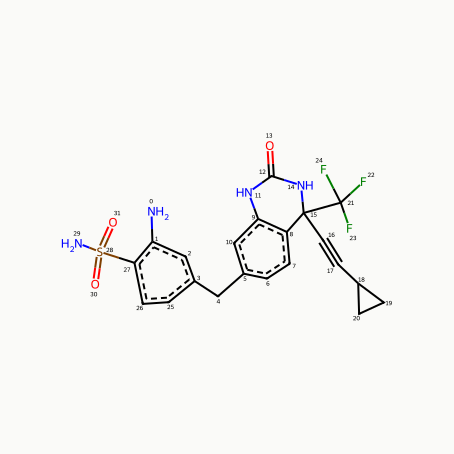 Nc1cc(Cc2ccc3c(c2)NC(=O)NC3(C#CC2CC2)C(F)(F)F)ccc1S(N)(=O)=O